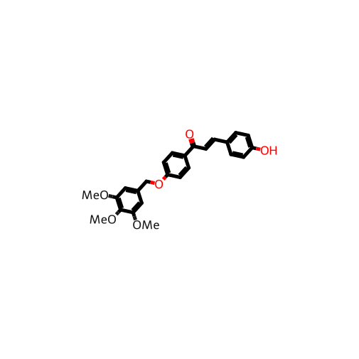 COc1cc(COc2ccc(C(=O)/C=C/c3ccc(O)cc3)cc2)cc(OC)c1OC